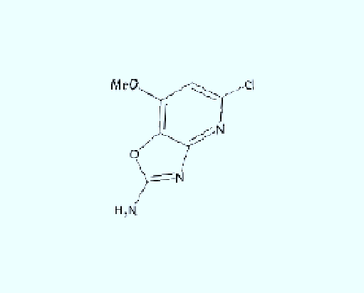 COc1cc(Cl)nc2nc(N)oc12